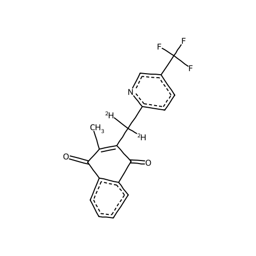 [2H]C([2H])(C1=C(C)C(=O)c2ccccc2C1=O)c1ccc(C(F)(F)F)cn1